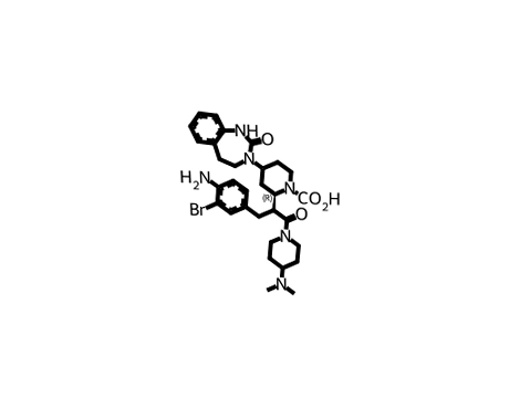 CN(C)C1CCN(C(=O)C(Cc2ccc(N)c(Br)c2)[C@H]2CC(N3CCc4ccccc4NC3=O)CCN2C(=O)O)CC1